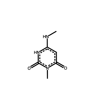 CNc1cc(=O)n(C)c(=O)[nH]1